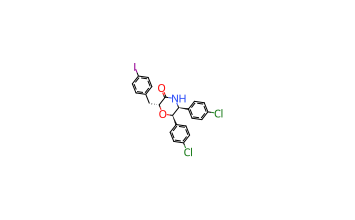 O=C1N[C@@H](c2ccc(Cl)cc2)[C@@H](c2ccc(Cl)cc2)O[C@@H]1Cc1ccc(I)cc1